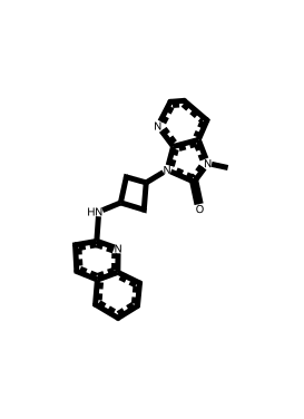 Cn1c(=O)n(C2CC(Nc3ccc4ccccc4n3)C2)c2ncccc21